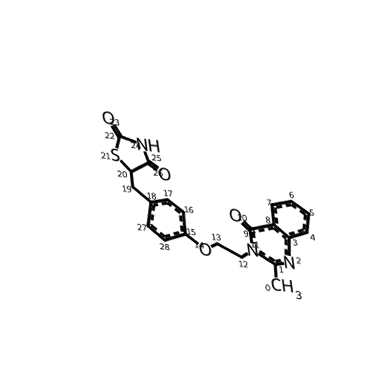 Cc1nc2ccccc2c(=O)n1CCOc1ccc(CC2SC(=O)NC2=O)cc1